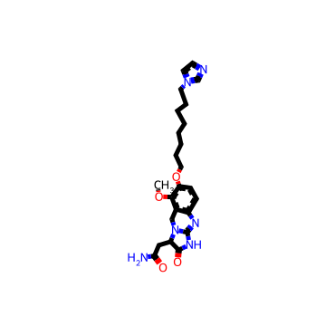 COc1c(OCCCCCCCCn2ccnc2)ccc2c1CN1C(=N2)NC(=O)C1CC(N)=O